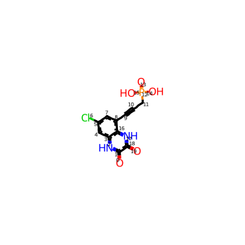 O=c1[nH]c2cc(Cl)cc(C#CCP(=O)(O)O)c2[nH]c1=O